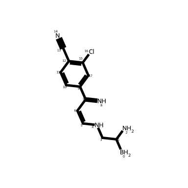 BC(N)CN/C=C\C(=N)c1ccc(C#N)c(Cl)c1